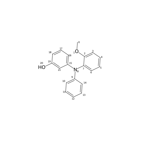 COc1ccccc1N(c1ccccc1)c1cccc(O)c1